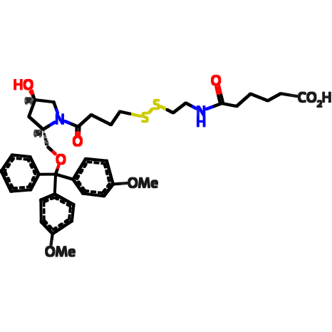 COc1ccc(C(OC[C@@H]2C[C@@H](O)CN2C(=O)CCCSSCCNC(=O)CCCCC(=O)O)(c2ccccc2)c2ccc(OC)cc2)cc1